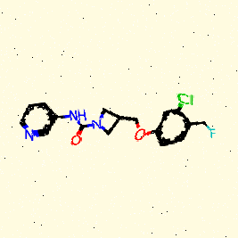 O=C(Nc1cccnc1)N1CC(COc2ccc(CF)c(Cl)c2)C1